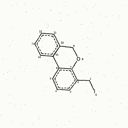 ICc1cccc2c1OCc1ccccc1-2